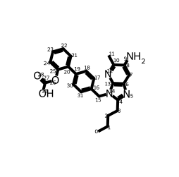 CCCCc1nc2cc(N)c(C)nc2n1Cc1ccc(-c2ccccc2OC(=O)O)cc1